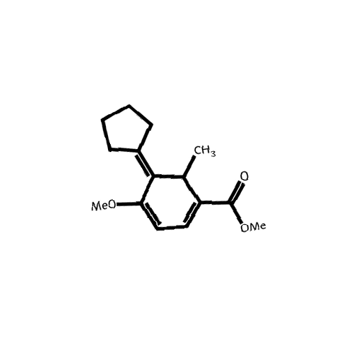 COC(=O)C1=CC=C(OC)C(=C2CCCC2)C1C